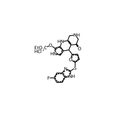 CCOC(=O)Oc1[nH]cc2c1NC1=C(C(=O)CNC1)C2c1ccc(Sc2nc3cc(F)ccc3[nH]2)o1.Cl